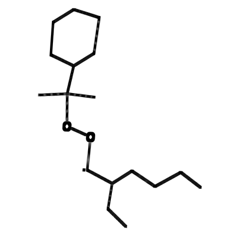 CCCCC([CH]OOC(C)(C)C1CCCCC1)CC